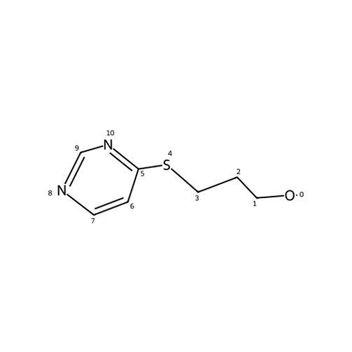 [O]CCCSc1ccncn1